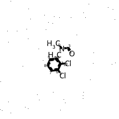 CN(C)C=O.Clc1ccccc1Cl